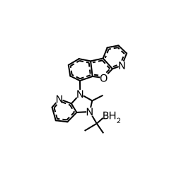 BC(C)(C)N1c2cccnc2N(c2cccc3c2oc2ncccc23)C1C